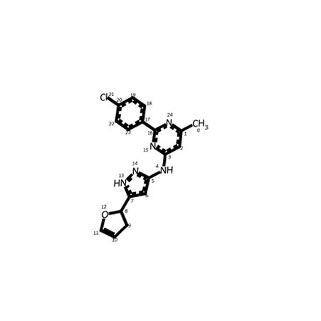 Cc1cc(Nc2cc(C3CC=CO3)[nH]n2)nc(-c2ccc(Cl)cc2)n1